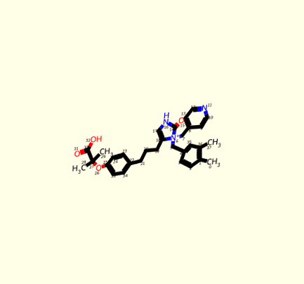 Cc1ccc(C[N+]2(Cc3ccncc3)C(=O)NC=C2CCCc2ccc(OC(C)(C)C(=O)O)cc2)cc1C